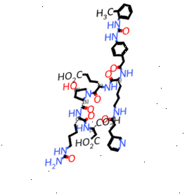 Cc1ccccc1NC(=O)Nc1ccc(CC(=O)N[C@@H](CCCCNC(=O)CCc2cccnc2)C(=O)N[C@@H](CCCC(=O)O)C(=O)N2C[C@H](O)C[C@H]2C(=O)N[C@@H](CCCCNC(N)=O)C(=O)N[C@@H](CC(=O)O)C(=O)O)cc1